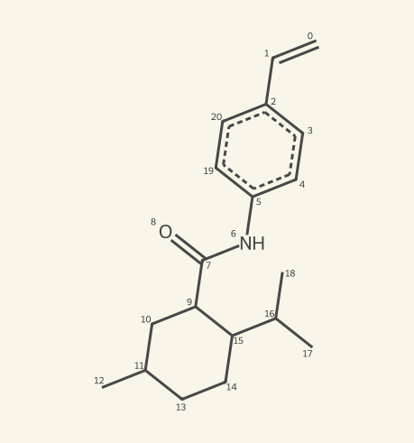 C=Cc1ccc(NC(=O)C2CC(C)CCC2C(C)C)cc1